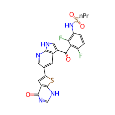 CCCS(=O)(=O)Nc1ccc(F)c(C(=O)c2c[nH]c3ncc(-c4cc5c(=O)nc[nH]c5s4)cc23)c1F